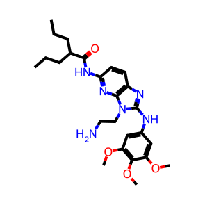 CCCC(CCC)C(=O)Nc1ccc2nc(Nc3cc(OC)c(OC)c(OC)c3)n(CCN)c2n1